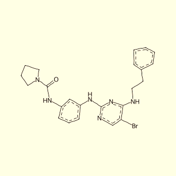 O=C(Nc1cccc(Nc2ncc(Br)c(NCCc3ccccc3)n2)c1)N1CCCC1